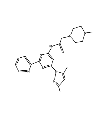 Cc1cc(C)n(-c2cc(NC(=O)CN3CCN(C)CC3)nc(-c3ccccn3)n2)n1